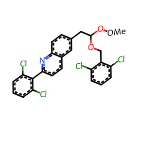 COOC(Cc1ccc2nc(-c3c(Cl)cccc3Cl)ccc2c1)OCc1c(Cl)cccc1Cl